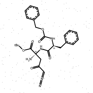 CC(C)(C)OC(=O)[C@](N)(CC(=O)C=[N+]=[N-])NC(=O)[C@H](Cc1ccccc1)NC(=O)OCc1ccccc1